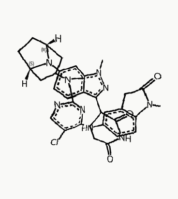 CN1C(=O)Cc2cc(Nc3nc(N(C)C4C[C@H]5CC[C@@H](C4)N5c4ccc5c(C6CCC(=O)NC6=O)nn(C)c5c4)ncc3Cl)ccc21